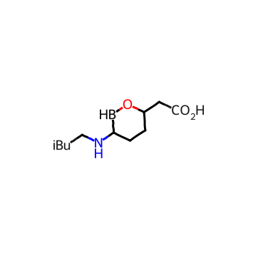 CCC(C)CNC1BOC(CC(=O)O)CC1